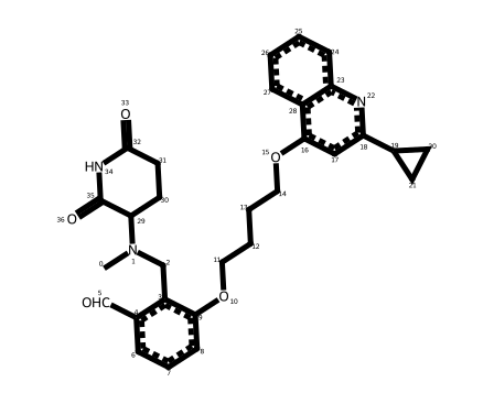 CN(Cc1c(C=O)cccc1OCCCCOc1cc(C2CC2)nc2ccccc12)C1CCC(=O)NC1=O